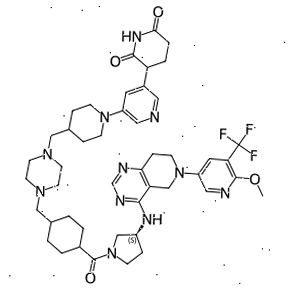 COc1ncc(N2CCc3ncnc(N[C@H]4CCN(C(=O)C5CCC(CN6CCN(CC7CCN(c8cncc(C9CCC(=O)NC9=O)c8)CC7)CC6)CC5)C4)c3C2)cc1C(F)(F)F